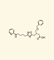 O=C(O)CC(COCc1ccccc1)Cc1nc(CCCCNc2ccccn2)no1